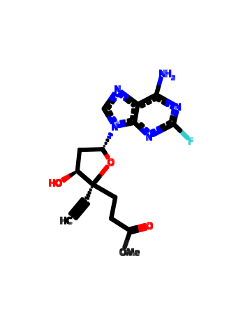 C#C[C@@]1(CCC(=O)OC)O[C@@H](n2cnc3c(N)nc(F)nc32)C[C@@H]1O